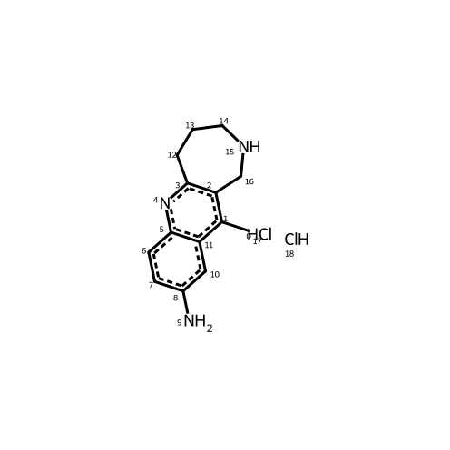 Cc1c2c(nc3ccc(N)cc13)CCCNC2.Cl.Cl